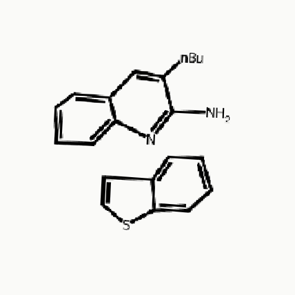 CCCCc1cc2ccccc2nc1N.c1ccc2sccc2c1